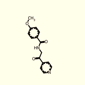 COc1ccc(C(=O)NCC(=O)c2ccncc2)cc1